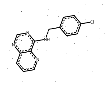 Clc1ccc(CNc2ncnc3cccnc23)cc1